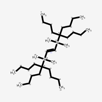 CCCCC(CCCC)(CCCC)[Si](C)(C)/C=C/[Si](C)(C)C(CCCC)(CCCC)CCCC